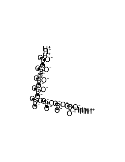 [H+].[H+].[H+].[H+].[H+].[H+].[H+].[H+].[O-]B([O-])[O-].[O-]B([O-])[O-].[O-]B([O-])[O-].[O-]B([O-])[O-].[O-]B([O-])[O-].[O-]B([O-])[O-].[O-]B([O-])[O-].[O-]B([O-])[O-]